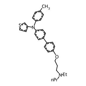 CCCN(CC)CCCOc1ccc(-c2ccc(N(c3ccc(C)cc3)c3ccsc3)cc2)cc1